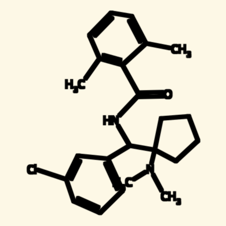 Cc1cccc(C)c1C(=O)NC(c1cccc(Cl)c1)C1(N(C)C)CCCC1